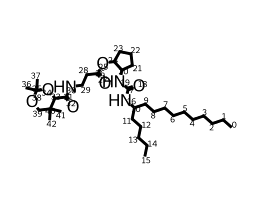 CCCCCCCCCCC(CCCCC)NC(=O)NC1CCCC1OC(=O)CCNC(=O)C1OC(C)(C)OCC1(C)C